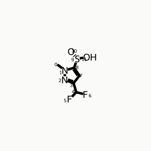 Cn1nc(C(F)F)cc1S(=O)O